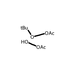 CC(=O)OO.CC(=O)OOC(C)(C)C